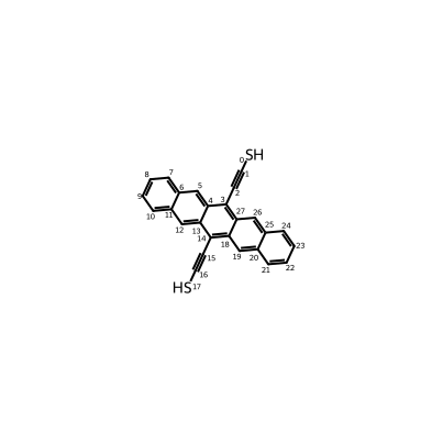 SC#Cc1c2cc3ccccc3cc2c(C#CS)c2cc3ccccc3cc12